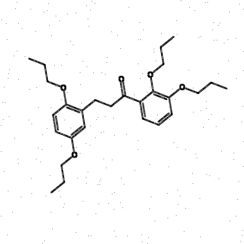 CCCOc1ccc(OCCC)c(CCC(=O)c2cccc(OCCC)c2OCCC)c1